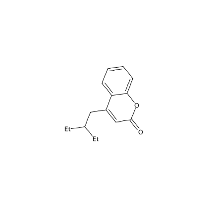 CCC(CC)Cc1cc(=O)oc2ccccc12